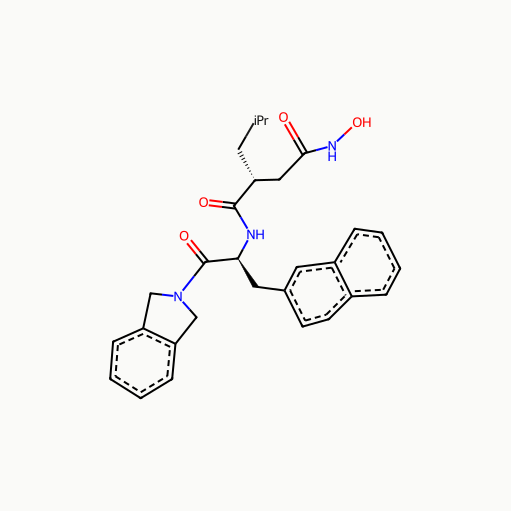 CC(C)C[C@H](CC(=O)NO)C(=O)N[C@@H](Cc1ccc2ccccc2c1)C(=O)N1Cc2ccccc2C1